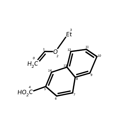 C=COCC.O=C(O)c1ccc2ccccc2c1